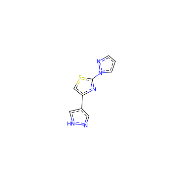 c1cnn(-c2nc(-c3cn[nH]c3)cs2)c1